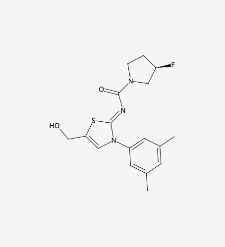 Cc1cc(C)cc(-n2cc(CO)sc2=NC(=O)N2CC[C@@H](F)C2)c1